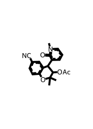 CC(=O)OC1C(c2cccn(C)c2=O)c2cc(C#N)ccc2OC1(C)C